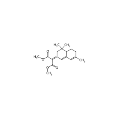 COC(=O)C(C(=O)OC)=C1C=C2C=C(C)CCC2C(C)(C)C1